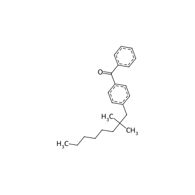 CCCCCCC(C)(C)Cc1ccc(C(=O)c2ccccc2)cc1